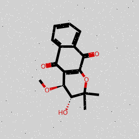 CO[C@H]1C2=C(OC(C)(C)[C@@H]1O)C(=O)c1ccccc1C2=O